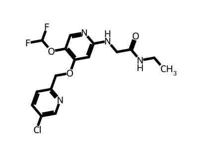 CCNC(=O)CNc1cc(OCc2ccc(Cl)cn2)c(OC(F)F)cn1